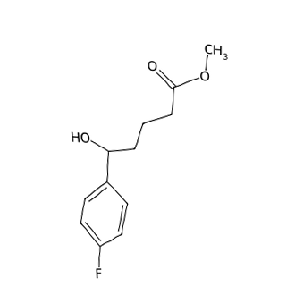 COC(=O)CCCC(O)c1ccc(F)cc1